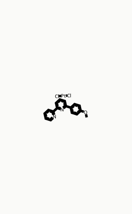 COc1ccc(-c2cccc(-c3ccccn3)n2)cc1.[Cl][Pt][Cl]